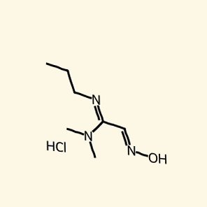 CCCN=C(C=NO)N(C)C.Cl